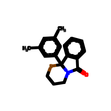 Cc1cc(C)cc(C23SCCCN2C(=O)c2ccccc23)c1